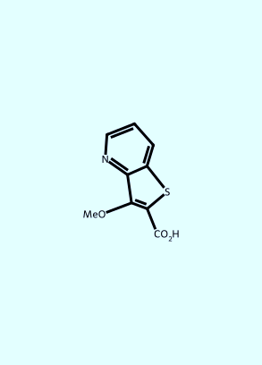 COc1c(C(=O)O)sc2cccnc12